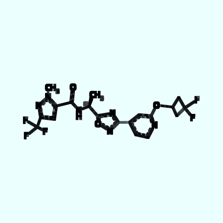 C[C@H](NC(=O)c1cc(C(F)(F)F)nn1C)c1nc(-c2ccnc(OC3CC(F)(F)C3)c2)no1